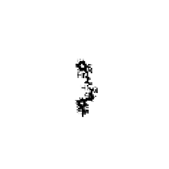 O=C(NCCCNc1nsc2ccccc12)c1ccc(-c2cccc(C(F)(F)F)c2)o1